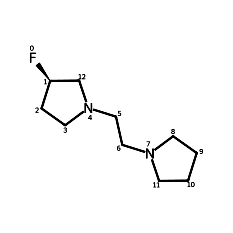 F[C@@H]1CCN(CCN2CCCC2)C1